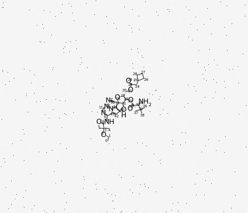 CCOC(C)(C)C(=O)Nc1ncnn2c([C@]3(C#N)O[C@H](COC(=O)CC4CCC4)[C@@H](OC(=O)[C@@H](N)C(C)(C)C)[C@H]3O)ccc12